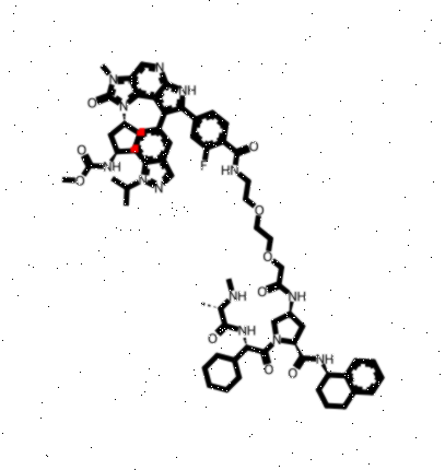 CN[C@@H](C)C(=O)N[C@H](C(=O)N1C[C@@H](NC(=O)COCCOCCNC(=O)c2ccc(-c3[nH]c4ncc5c(c4c3-c3ccc4c(cnn4C(C)C)c3)n([C@@H]3CC[C@@H](NC(=O)OC)C3)c(=O)n5C)cc2F)C[C@H]1C(=O)N[C@@H]1CCCc2ccccc21)C1CCCCC1